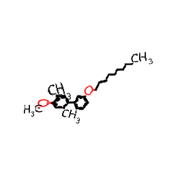 CCCCCCCCCCOc1cccc(-c2cc(C)c(OC)cc2C)c1